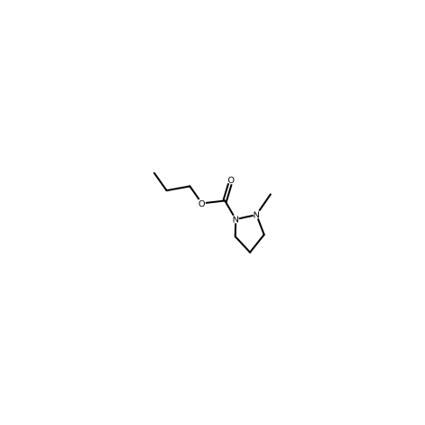 CCCOC(=O)N1CCCN1C